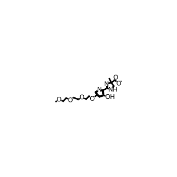 COCCOCCOCCOc1cnc(C2=NC(C)(C(=O)OC)CN2)c(O)c1